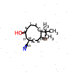 CC(C)(C)C1CCCCC(O)CC(C#N)CCC1Br